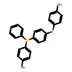 CC(C)(C)c1ccc(Sc2ccc([S+](c3ccccc3)c3ccc(C(C)(C)C)cc3)cc2)cc1